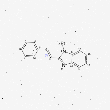 CCn1c(/C=C/c2ccccc2)nc2ccccc21